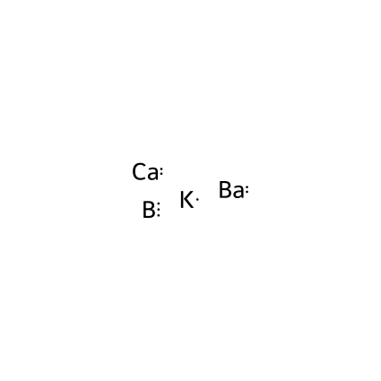 [B].[Ba].[Ca].[K]